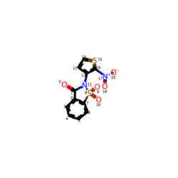 O=C1c2ccccc2S(=O)(=O)N1c1ccsc1[N+](=O)[O-]